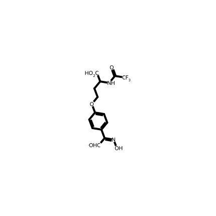 O=[C]C(=NO)c1ccc(OCCC(NC(=O)C(F)(F)F)C(=O)O)cc1